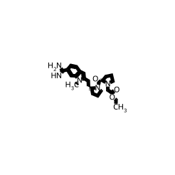 CCOC(=O)CN1CCC[C@@H]1C(=O)N1CCC[C@H]1CCc1cc2ccc(C(=N)N)cc2n1C